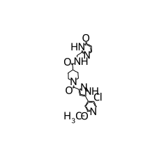 COc1cc(-c2cc(C(=O)N3CCC(C(=O)NCc4nccc(=O)[nH]4)CC3)n[nH]2)c(Cl)cn1